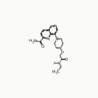 CCN(I)C(=O)COC1CCN(c2cncc3ccc(C(N)=O)nc23)CC1